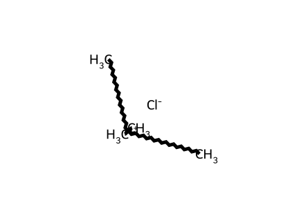 CCCCCCCCCCCCCCCCCCC[N+](C)(C)CCCCCCCCCCCCCCCCCCC.[Cl-]